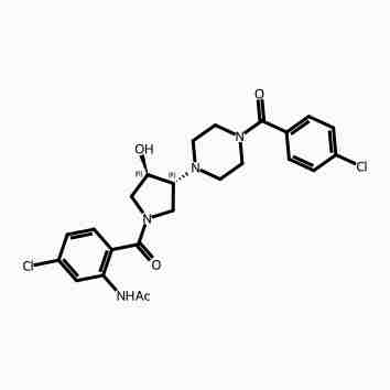 CC(=O)Nc1cc(Cl)ccc1C(=O)N1C[C@@H](O)[C@H](N2CCN(C(=O)c3ccc(Cl)cc3)CC2)C1